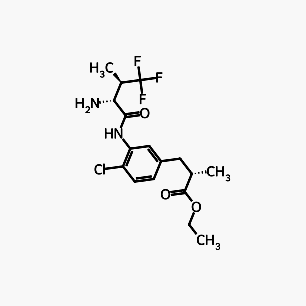 CCOC(=O)[C@@H](C)Cc1ccc(Cl)c(NC(=O)[C@H](N)[C@@H](C)C(F)(F)F)c1